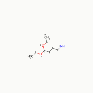 CCOC(CCC[NH])OCC